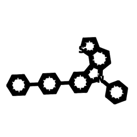 c1ccc(-c2ccc(-c3ccc4c(c3)c3c5sccc5ccc3n4-c3ccccc3)cc2)cc1